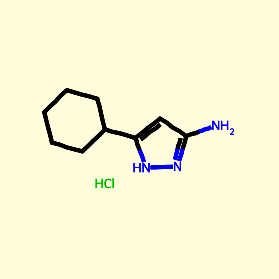 Cl.Nc1cc(C2CCCCC2)[nH]n1